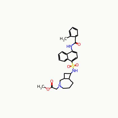 COC(=O)CN1CCCC2C(CC2NS(=O)(=O)c2ccc(NC(=O)c3ccccc3C)c3ccccc23)C1